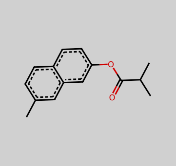 Cc1ccc2ccc(OC(=O)C(C)C)cc2c1